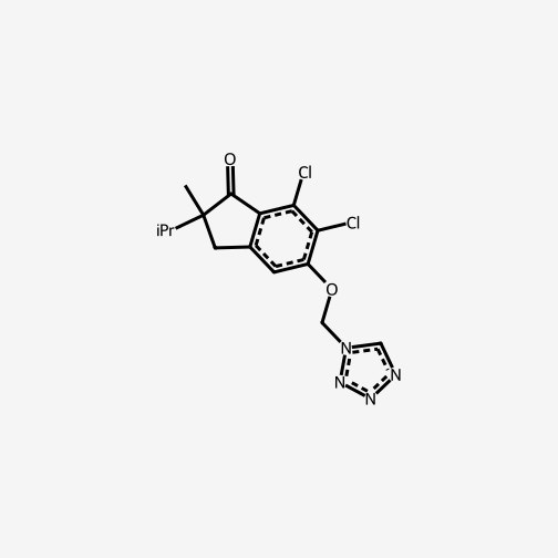 CC(C)C1(C)Cc2cc(OCn3cnnn3)c(Cl)c(Cl)c2C1=O